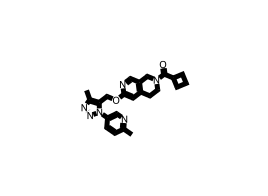 Cc1ccc(-n2nnc(C)c2COc2cc3c(cn2)CN(C(=O)C2CCC2)CC3)cn1